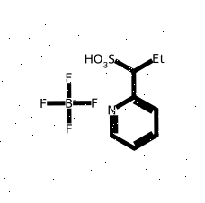 CCC(c1ccccn1)S(=O)(=O)O.F[B-](F)(F)F